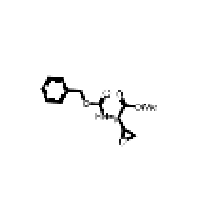 COC(=O)[C@H](NC(=O)OCc1ccccc1)C1CO1